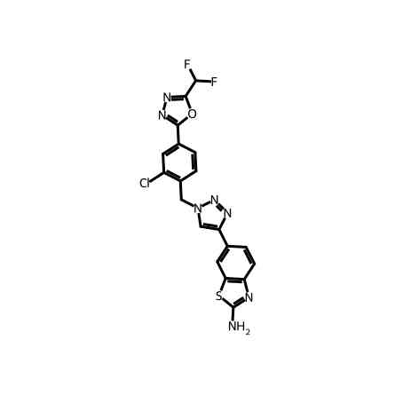 Nc1nc2ccc(-c3cn(Cc4ccc(-c5nnc(C(F)F)o5)cc4Cl)nn3)cc2s1